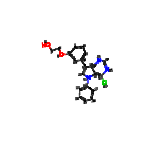 OCCOc1cccc(-c2cn(-c3ccccc3)c3c(Cl)ncnc23)c1